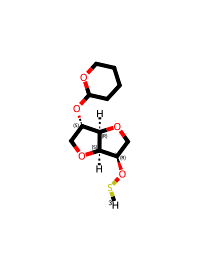 [3H]SO[C@@H]1CO[C@H]2[C@@H]1OC[C@@H]2OC1CCCCO1